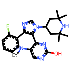 CCNc1cnc(O)nc1-c1c(-c2ccccc2F)ncn1C1CC(C)(C)NC(C)(C)C1